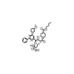 CCCCOC(=O)N1CCN(C(=O)[C@H](CCCP(=O)(O)O)NC(=O)c2cc(N3CC[C@H](OC)C3)nc(-c3ccccc3)n2)CC1